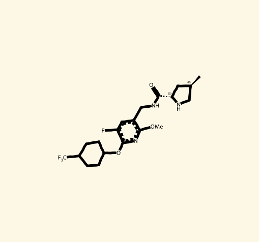 COc1nc(OC2CCC(C(F)(F)F)CC2)c(F)cc1CNC(=O)[C@@H]1C[C@@H](C)CN1